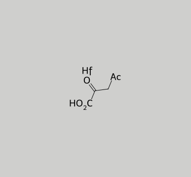 CC(=O)CC(=O)C(=O)O.[Hf]